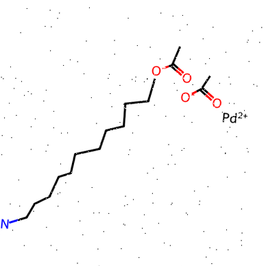 CC(=O)[O-].CC(=O)[O-].CCCCCCCCCCCCN.[Pd+2]